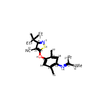 CCC(C)(CC)c1nsc(Oc2cc(C)c(N=C(NC)C(C)C)cc2C)c1C#N